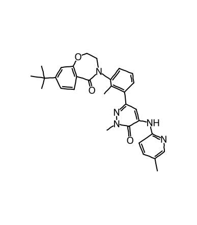 Cc1ccc(Nc2cc(-c3cccc(N4CCOc5cc(C(C)(C)C)ccc5C4=O)c3C)nn(C)c2=O)nc1